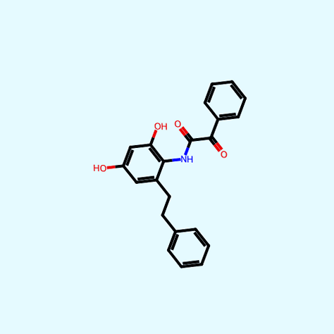 O=C(Nc1c(O)cc(O)cc1CCc1ccccc1)C(=O)c1ccccc1